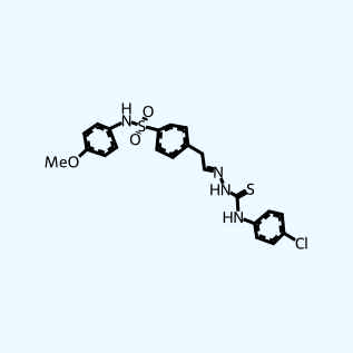 COc1ccc(NS(=O)(=O)c2ccc(CC=NNC(=S)Nc3ccc(Cl)cc3)cc2)cc1